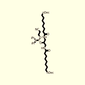 CCCCCCCCCCCCCCCCCC(=O)NCC(CNC(=O)CCCCCCCCCCCCCCCCC)OP(OCCC#N)N(C(C)C)C(C)C